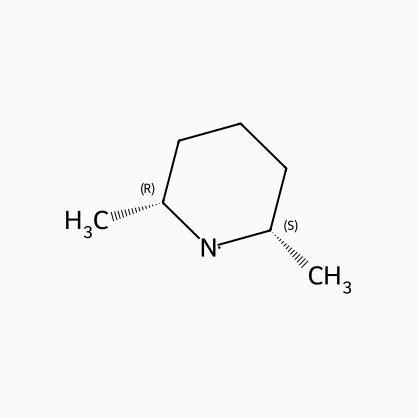 C[C@@H]1CCC[C@H](C)[N]1